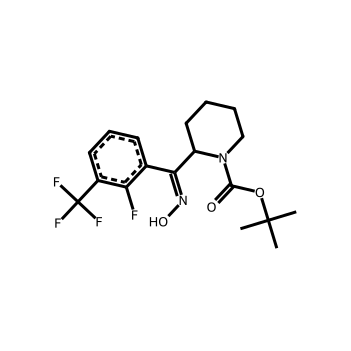 CC(C)(C)OC(=O)N1CCCCC1C(=NO)c1cccc(C(F)(F)F)c1F